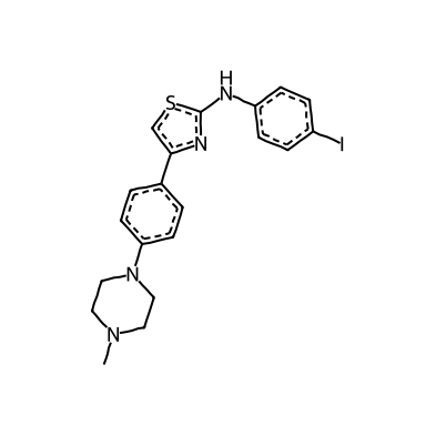 CN1CCN(c2ccc(-c3csc(Nc4ccc(I)cc4)n3)cc2)CC1